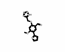 COc1cc(OCc2nnn[nH]2)c(C=O)cc1-c1cccs1